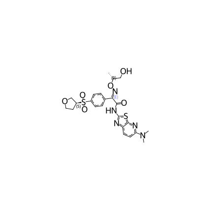 C[C@H](CO)O/N=C(/C(=O)Nc1nc2ccc(N(C)C)nc2s1)c1ccc(S(=O)(=O)[C@H]2CCOC2)cc1